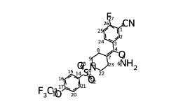 N#Cc1cc(C(ON)=C2CCN(S(=O)(=O)c3ccc(OC(F)(F)F)cc3)CC2)ccc1F